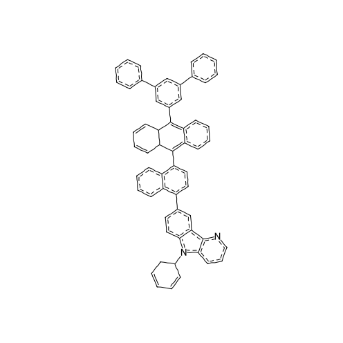 C1=CCC(n2c3ccc(-c4ccc(C5=c6ccccc6=C(c6cc(-c7ccccc7)cc(-c7ccccc7)c6)C6C=CC=CC56)c5ccccc45)cc3c3ncccc32)C=C1